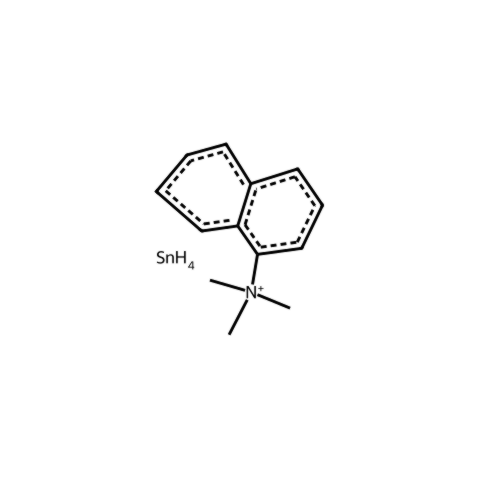 C[N+](C)(C)c1cccc2ccccc12.[SnH4]